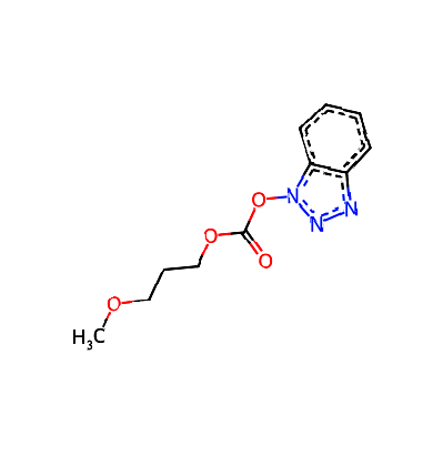 COCCCOC(=O)On1nnc2ccccc21